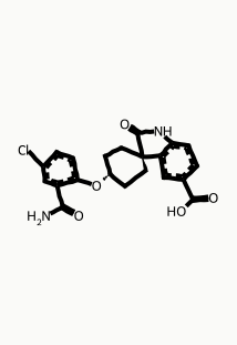 NC(=O)c1cc(Cl)ccc1O[C@H]1CC[C@@]2(CC1)C(=O)Nc1ccc(C(=O)O)cc12